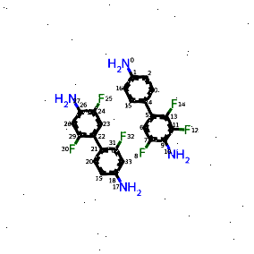 Nc1ccc(-c2cc(F)c(N)c(F)c2F)cc1.Nc1ccc(-c2cc(F)c(N)cc2F)c(F)c1